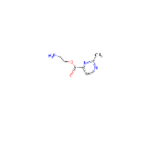 Cc1nccc(C(=O)OCCN)n1